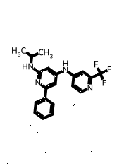 CC(C)Nc1cc(Nc2ccnc(C(F)(F)F)c2)cc(-c2ccccc2)n1